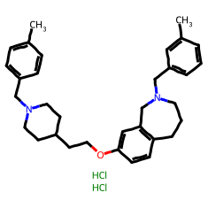 Cc1ccc(CN2CCC(CCOc3ccc4c(c3)CN(Cc3cccc(C)c3)CCC4)CC2)cc1.Cl.Cl